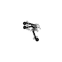 C[Si](C)(CCCCCCOC(=O)C(=O)c1ccccc1)O[Si](C)(C)O[Si](C)(CCCCCCOC(=O)C(=O)c1ccccc1)O[Si](C)(C)CCCCCCOC(=O)C(=O)c1ccccc1